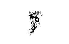 Cc1cc(CC(F)F)cnc1C(=O)Nc1ccc(Cl)c(C2(C(F)F)N=C(N)O[C@@H]3C[C@@H]32)c1